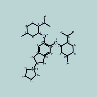 CC1CCC(C(C)C)C(Oc2cc3c(cc2OC2CC(C)CCC2C(C)C)CC(N2CCCC2)C3)C1